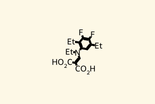 CCc1cc(N(C=C(C(=O)O)C(=O)O)CC)c(CC)c(F)c1F